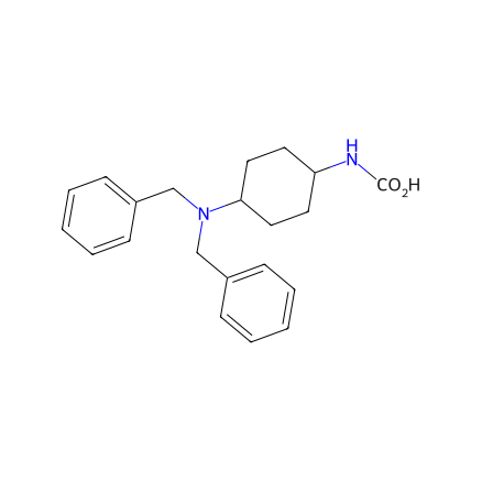 O=C(O)NC1CCC(N(Cc2ccccc2)Cc2ccccc2)CC1